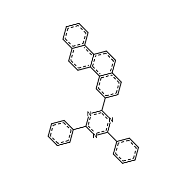 c1ccc(-c2nc(-c3ccccc3)nc(-c3ccc4ccc5c6ccccc6ccc5c4c3)n2)cc1